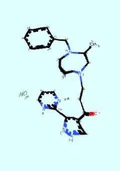 CC1CN(CCC(=O)c2c[nH]nc2-c2ncccn2)CCN1Cc1ccccc1.Cl